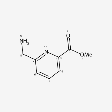 COC(=O)c1cccc(CN)n1